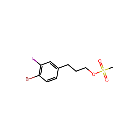 CS(=O)(=O)OCCCc1ccc(Br)c(I)c1